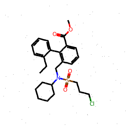 CCc1ccccc1-c1c(CN(C2CCCCC2)S(=O)(=O)CCCCl)cccc1C(=O)OC